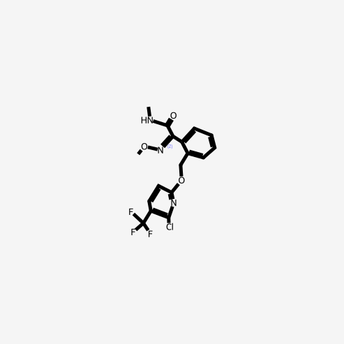 CNC(=O)/C(=N\OC)c1ccccc1COc1ccc(C(F)(F)F)c(Cl)n1